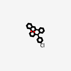 Clc1ccc(C(c2ccccc2)c2ccccc2-c2ccc3ccccc3c2)cc1